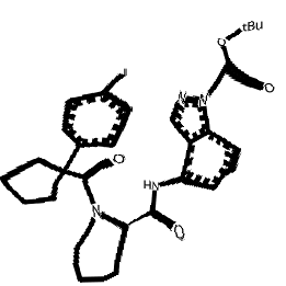 CC(C)(C)OC(=O)n1ncc2c(NC(=O)[C@H]3CCCN3C(=O)C3(c4ccc(I)cc4)CCCC3)cccc21